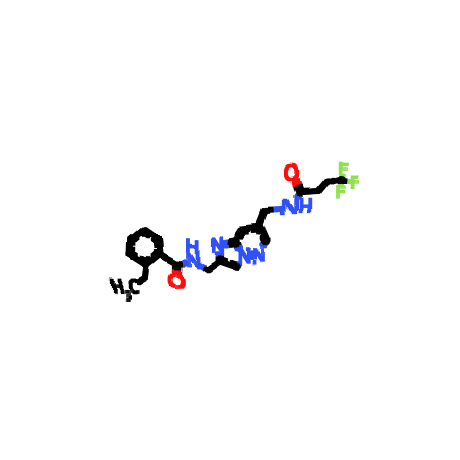 CCc1ccccc1C(=O)NCc1cn2ncc(CNC(=O)CCC(F)(F)F)cc2n1